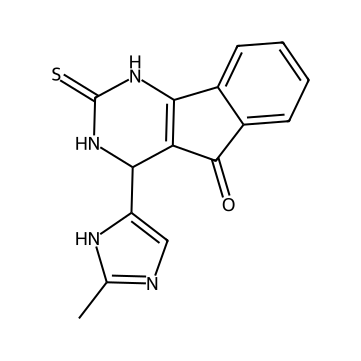 Cc1ncc(C2NC(=S)NC3=C2C(=O)c2ccccc23)[nH]1